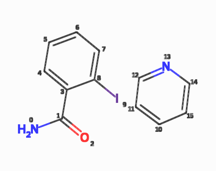 NC(=O)c1ccccc1I.c1ccncc1